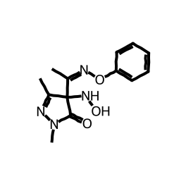 CC1=NN(C)C(=O)C1(NO)/C(C)=N\Oc1ccccc1